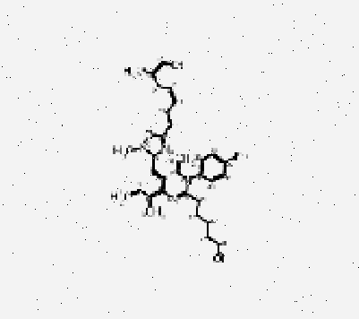 C=C/C(C)=C(\C=C\C1N=C(CC/C=C\C/C(C)=C\CC)ON1C)/N=C(/CCCCCO)N(C=C)c1ccc(F)cc1